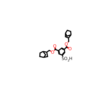 O=C(OCC1CC2CCC1C2)c1cc(C(=O)OCC2CC3CCC2C3)cc(S(=O)(=O)O)c1